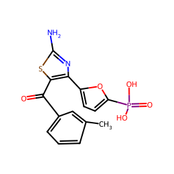 Cc1cccc(C(=O)c2sc(N)nc2-c2ccc(P(=O)(O)O)o2)c1